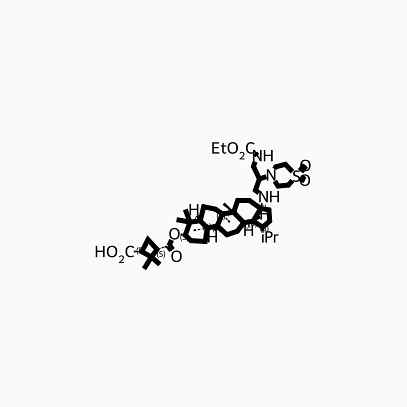 CCOC(=O)NCC(CN[C@]12CC[C@@H](C(C)C)[C@@H]1[C@H]1CC[C@@H]3[C@@]4(C)CC[C@H](OC(=O)[C@H]5C[C@@H](C(=O)O)C5(C)C)C(C)(C)[C@@H]4CC[C@@]3(C)[C@]1(C)CC2)N1CCS(=O)(=O)CC1